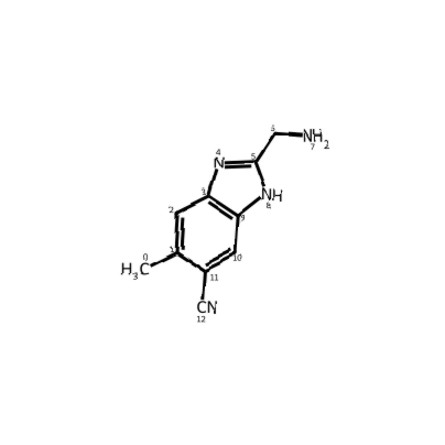 Cc1cc2nc(CN)[nH]c2cc1C#N